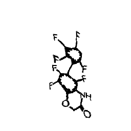 O=C1COc2c(F)c(F)c(-c3c(F)cc(F)c(F)c3F)c(F)c2N1